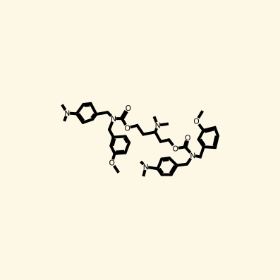 COc1cccc(CN(Cc2ccc(N(C)C)cc2)C(=O)OCCC(CCOC(=O)N(Cc2ccc(N(C)C)cc2)Cc2cccc(OC)c2)N(C)C)c1